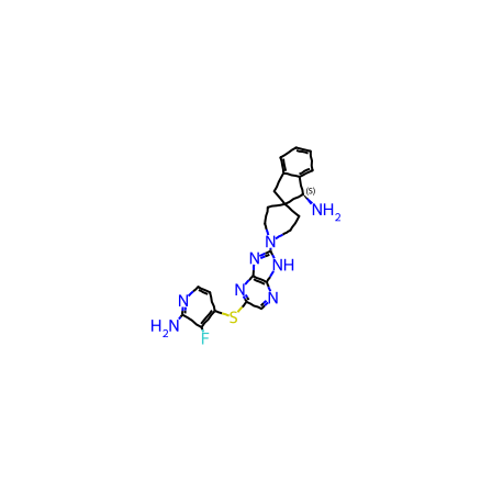 Nc1nccc(Sc2cnc3[nH]c(N4CCC5(CC4)Cc4ccccc4[C@H]5N)nc3n2)c1F